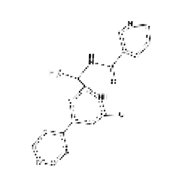 CC(NC(=O)c1cccnc1)c1nc(-c2ccncn2)cc(=O)[nH]1